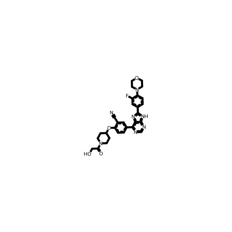 N#Cc1cc(-c2ncnc3[nH]c(-c4ccc(N5CCOCC5)c(F)c4)nc23)ccc1OC1CCN(C(=O)CO)CC1